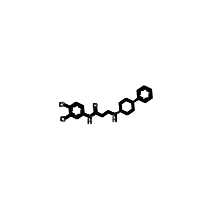 O=C(CCN[C@H]1CC[C@H](c2ccccc2)CC1)Nc1ccc(Cl)c(Cl)c1